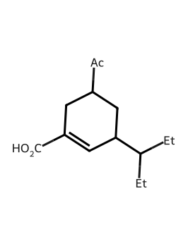 CCC(CC)C1C=C(C(=O)O)CC(C(C)=O)C1